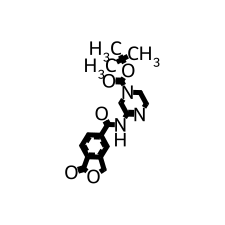 CC(C)(C)OC(=O)N1CCN=C(NC(=O)c2ccc3c(c2)COC3=O)C1